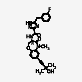 CN1C(=O)[C@@H](NC(=O)c2n[nH]c(Cc3cccc(F)c3)n2)COc2ccc(C#CC(C)(C)O)cc21